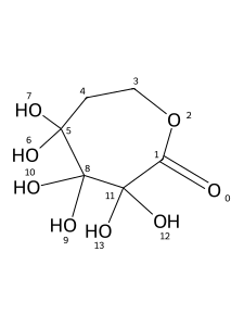 O=C1OCCC(O)(O)C(O)(O)C1(O)O